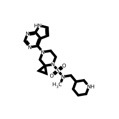 CN(CC1CCCNC1)S(=O)(=O)N1CCN(c2ncnc3[nH]ccc23)CC12CC2